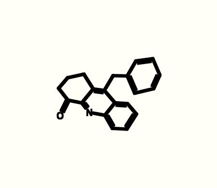 O=C1CCCc2c1nc1ccccc1c2Cc1ccccc1